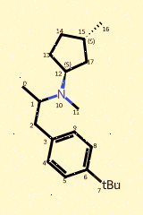 CC(Cc1ccc(C(C)(C)C)cc1)N(C)[C@H]1CC[C@H](C)C1